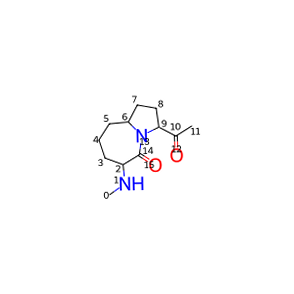 CNC1CCCC2CCC(C(C)=O)N2C1=O